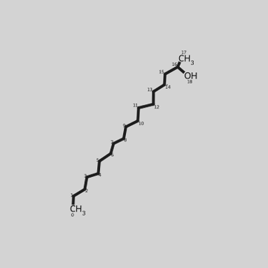 CCCCCCCCCCCCCC[CH]CC(C)O